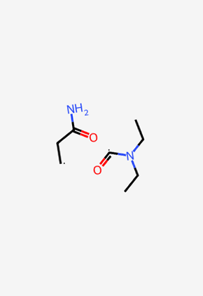 CCN([C]=O)CC.[CH2]CC(N)=O